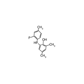 Cc1ccc(Pc2cc(C)cc(C)c2O)c(F)c1